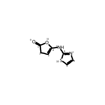 O=C1CC=C(Nc2nccs2)O1